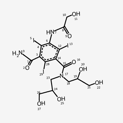 NC(=O)c1c(I)c(NC(=O)CO)c(I)c(C(=O)N(CC(O)CO)CC(O)CO)c1I